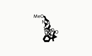 COCc1cn2cc(S(=O)(=O)N[C@@]3(C(=O)OC)CC3(C)c3ccccc3)sc2n1